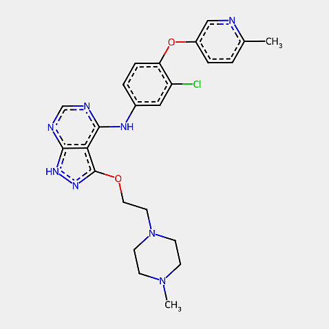 Cc1ccc(Oc2ccc(Nc3ncnc4[nH]nc(OCCN5CCN(C)CC5)c34)cc2Cl)cn1